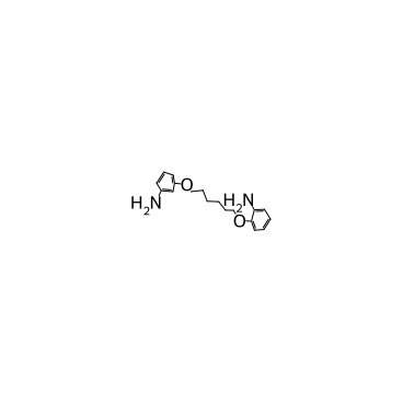 Nc1cccc(OCCCCCCOc2ccccc2N)c1